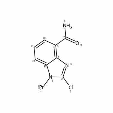 CC(C)n1c(Cl)nc2c(C(N)=O)cccc21